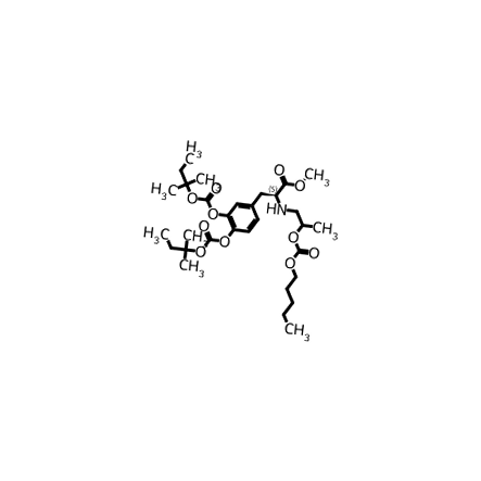 CCCCCOC(=O)OC(C)CN[C@@H](Cc1ccc(OC(=O)OC(C)(C)CC)c(OC(=O)OC(C)(C)CC)c1)C(=O)OC